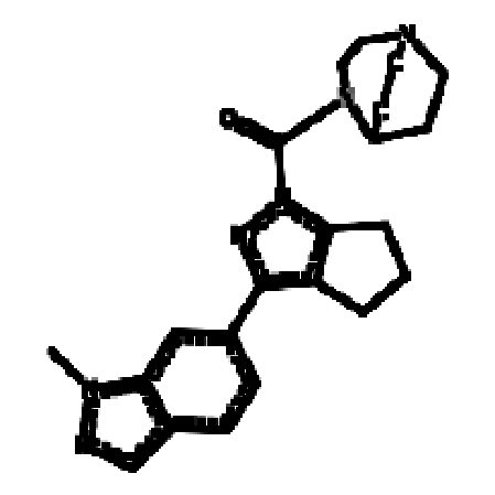 Cn1ncc2ccc(-c3nn(C(=O)N4CCN5CCC4CC5)c4c3CCC4)cc21